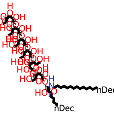 CCCCCCCCCCCCC/C=C/[C@@H](O)[C@H](CO[C@@H]1OC(CO)[C@@H](O[C@@H]2OC(CO)[C@H](O[C@@H]3OC(CO)[C@H](O)[C@H](O[C@H]4OC(CO)[C@H](O)[C@H](O[C@H]5OC(CO)[C@H](O)[C@H](O[C@H]6OC(CO)[C@H](O)[C@H](O)C6O)C5O)C4O)C3O)[C@H](O)C2O)[C@H](O)C1O)NC(=O)CCCCCCCCCCCCCCCCCCCCCCC